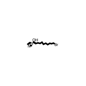 OC(=CCCCCCCCCCBr)n1ccnc1